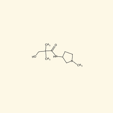 CN1CCC(NC(=O)C(C)(C)CO)C1